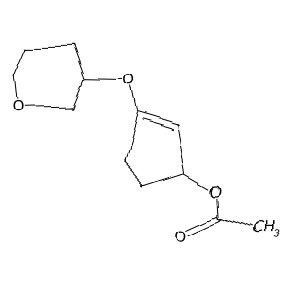 CC(=O)OC1C=C(OC2CCCOC2)CC1